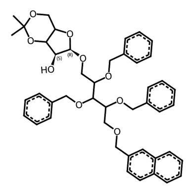 CC1(C)OCC2O[C@@H](OCC(OCc3ccccc3)C(OCc3ccccc3)C(COCc3ccc4ccccc4c3)OCc3ccccc3)[C@@H](O)C2O1